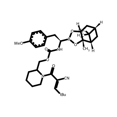 COc1ccc(C[C@H](NC(=O)OCC2CCCCN2C(=O)C(C#N)=CC(C)(C)C)B2O[C@@H]3C[C@@H]4C[C@@H](C4(C)C)[C@]3(C)O2)cc1